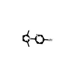 C[CH]Cc1ccc(-n2c(C)ccc2C)nc1